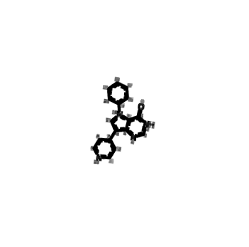 O=c1[nH]cnc2c(-c3ccncc3)cn(-c3ccccc3)c12